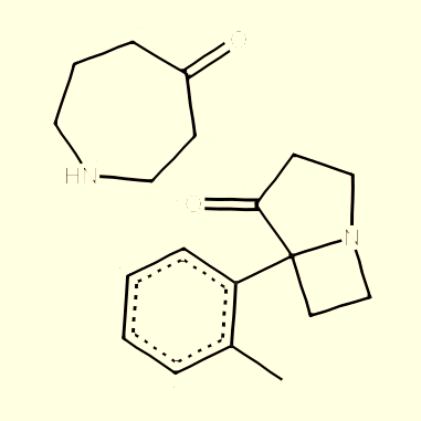 Cc1ccccc1C12CCN1CCC2=O.O=C1CCCNCC1